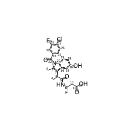 Cc1c(C(C)C(=O)N[C@@H](C)CC(=O)O)c2cc(O)ccc2n1C(=O)c1ccc(Cl)c(F)c1